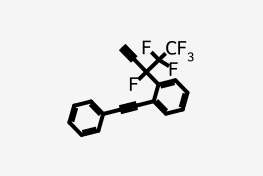 C#CC(F)(c1ccccc1C#Cc1ccccc1)C(F)(F)C(F)(F)F